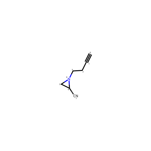 C#CCCN1CC1C#N